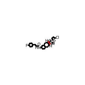 O=C(/C=C/c1ccc(F)cc1)Nc1ccc2c(c1)C[C@H]1CC[C@@H](C2)[C@H]1NS(=O)(=O)c1ccc(Cl)s1